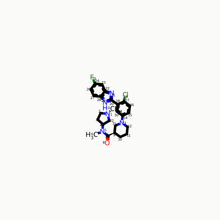 CN1CCC(N(C)C(=O)[C@@H]2CCCN(c3ccc(Cl)c(-c4nc5cc(F)ccc5[nH]4)c3)C2)C1